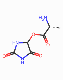 C[C@@H](N)C(=O)OC1NC(=O)NC1=O